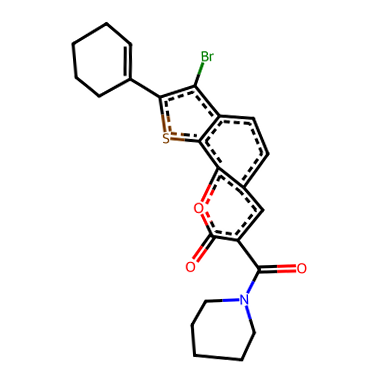 O=C(c1cc2ccc3c(Br)c(C4=CCCCC4)sc3c2oc1=O)N1CCCCC1